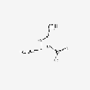 CCN(CC)CC.O=C(O)CNCC(=O)O